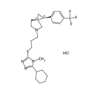 Cl.Cn1c(SCCCN2CC[C@]3(C[C@H]3c3ccc(C(F)(F)F)cc3)C2)nnc1C1CCCCC1